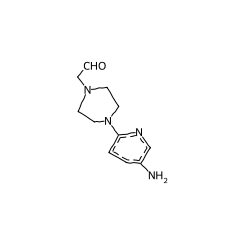 Nc1ccc(N2CCN(CC=O)CC2)nc1